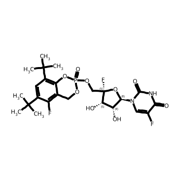 CC(C)(C)c1cc(C(C)(C)C)c2c(c1F)COP(=O)(OC[C@@]1(F)O[C@@H](n3cc(F)c(=O)[nH]c3=O)[C@H](O)[C@@H]1O)O2